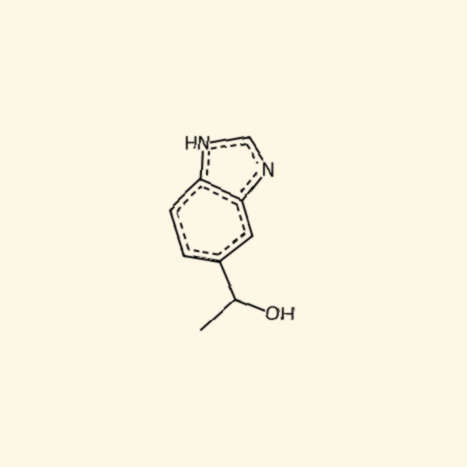 CC(O)c1ccc2[nH]cnc2c1